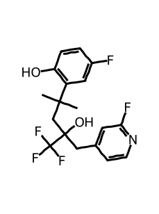 CC(C)(CC(O)(Cc1ccnc(F)c1)C(F)(F)F)c1cc(F)ccc1O